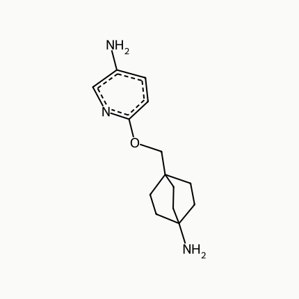 Nc1ccc(OCC23CCC(N)(CC2)CC3)nc1